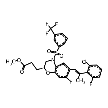 COC(=O)CC[C@H]1CN(S(=O)(=O)c2cccc(C(F)(F)F)c2)c2cc(/C=C(\C)c3c(F)cccc3Cl)c(F)cc2O1